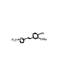 COc1cc(/C=C/c2ccn(C)n2)ccc1C(C)C